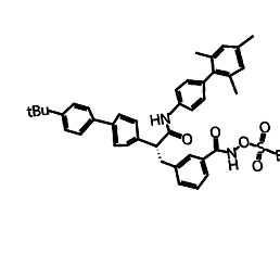 CCS(=O)(=O)ONC(=O)c1cccc(C[C@@H](C(=O)Nc2ccc(-c3c(C)cc(C)cc3C)cc2)c2ccc(-c3ccc(C(C)(C)C)cc3)cc2)c1